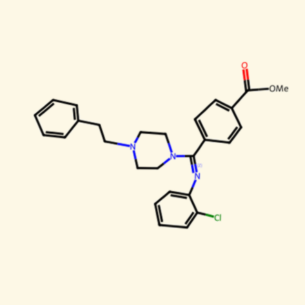 COC(=O)c1ccc(/C(=N/c2ccccc2Cl)N2CCN(CCc3ccccc3)CC2)cc1